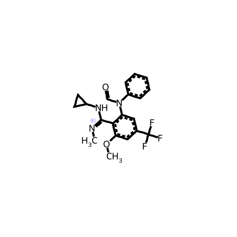 C/N=C(/NC1CC1)c1c(OC)cc(C(F)(F)F)cc1N(C=O)c1ccccc1